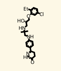 CCc1ccc(Cl)cc1OC[C@@H](O)CNC(C)(C)CNc1ccc(C2=NNC(=O)CC2)cc1